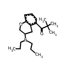 CCCN(CCC)C1COc2cccc(C(=O)C(C)(C)C)c2C1